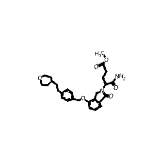 COC(=O)CCC(C(N)=O)N1Cc2c(OCc3ccc(CCC4CCOCC4)cc3)cccc2C1=O